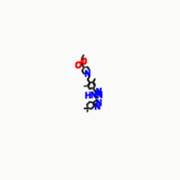 CCOC(=O)C1CCN(CCc2c(C)cc(-c3nnc(-c4nn(C)c5c4CCC(C)(C)C5)[nH]3)cc2C)CC1